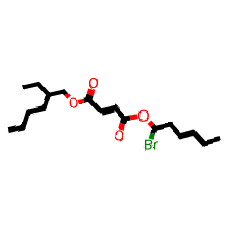 CCCCCC(Br)OC(=O)C=CC(=O)OCC(CC)CCCC